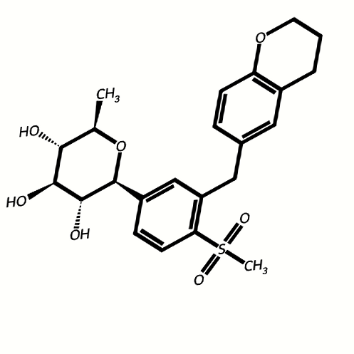 C[C@H]1O[C@@H](c2ccc(S(C)(=O)=O)c(Cc3ccc4c(c3)CCCO4)c2)[C@H](O)[C@@H](O)[C@@H]1O